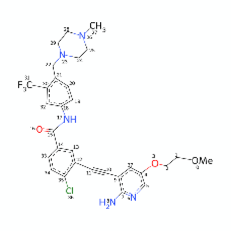 COCCOc1cnc(N)c(C#Cc2cc(C(=O)Nc3ccc(CN4CCN(C)CC4)c(C(F)(F)F)c3)ccc2Cl)c1